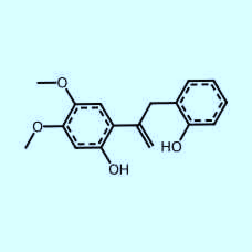 C=C(Cc1ccccc1O)c1cc(OC)c(OC)cc1O